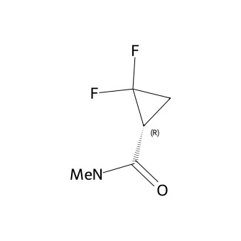 CNC(=O)[C@H]1CC1(F)F